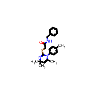 CC1=CC(C)(C)N=C(SCC(=O)NCc2ccccc2)N1c1ccc(C)cc1